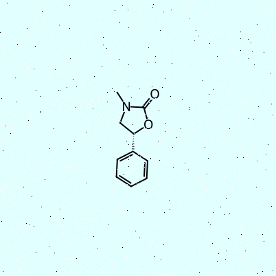 CN1C[C@@H](c2ccccc2)OC1=O